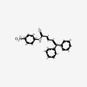 O=C(C=CC=C(c1ccccc1)c1ccccc1)Oc1ccc([N+](=O)[O-])cc1